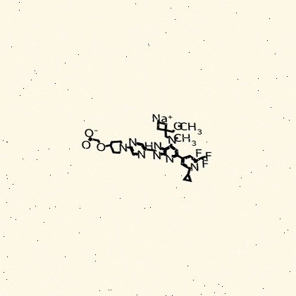 COCC1(CN(C)c2cc(-c3cc(C4CC4)nc(C(F)(F)F)c3)nc3nc(-c4cnc(N5CCC(OCC(=O)[O-])CC5)cn4)[nH]c23)CCC1.[Na+]